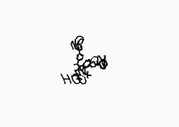 COc1ccc(-c2ccc(C(C)c3c(CC(C)(C)C(=O)O)n(CC(C)(C)C)c4cc(OCc5ccccn5)ccc34)cc2)cn1